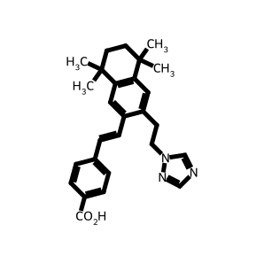 CC1(C)CCC(C)(C)c2cc(CCn3cncn3)c(/C=C/c3ccc(C(=O)O)cc3)cc21